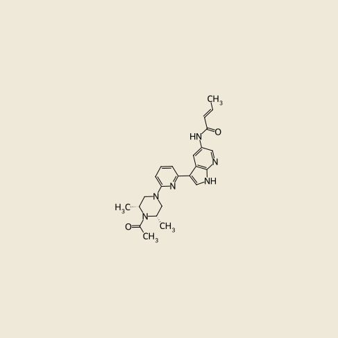 C/C=C/C(=O)Nc1cnc2[nH]cc(-c3cccc(N4C[C@@H](C)N(C(C)=O)[C@@H](C)C4)n3)c2c1